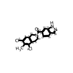 Cc1c(Cl)cc2c(c1Cl)CCN(C(=O)c1ccc3cn[nH]c3c1)C2